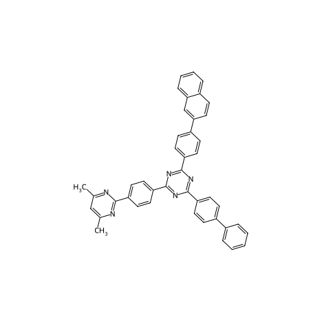 Cc1cc(C)nc(-c2ccc(-c3nc(-c4ccc(-c5ccccc5)cc4)nc(-c4ccc(-c5ccc6ccccc6c5)cc4)n3)cc2)n1